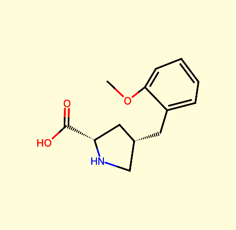 COc1ccccc1C[C@@H]1CN[C@H](C(=O)O)C1